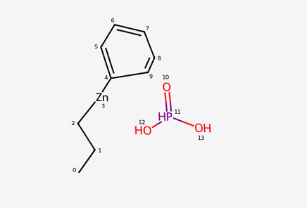 CC[CH2][Zn][c]1ccccc1.O=[PH](O)O